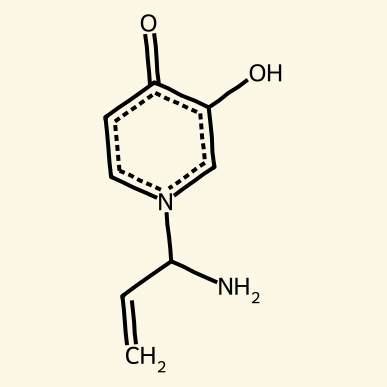 C=CC(N)n1ccc(=O)c(O)c1